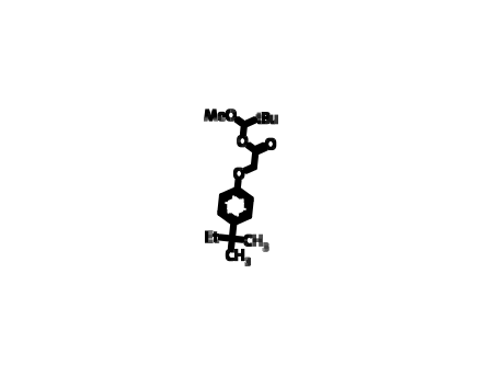 CCC(C)(C)c1ccc(OCC(=O)OC(OC)C(C)(C)C)cc1